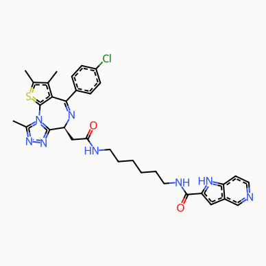 Cc1sc2c(c1C)C(c1ccc(Cl)cc1)=N[C@@H](CC(=O)NCCCCCCNC(=O)c1cc3cnccc3[nH]1)c1nnc(C)n1-2